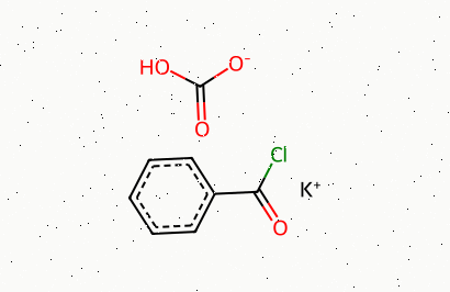 O=C(Cl)c1ccccc1.O=C([O-])O.[K+]